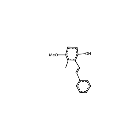 COc1ccc(O)c(C=Cc2ccccc2)c1C